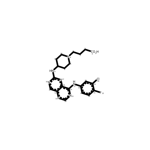 O=C(O)CCCN1CCC(Nc2ncc3ncnc(Nc4ccc(F)c(Cl)c4)c3n2)CC1